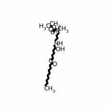 CCCCCCCCCCC(=O)OCCCCC(O)CNCCCCN(C)C(=O)OC(C)(C)C